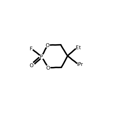 CCC1(C(C)C)COP(=O)(F)OC1